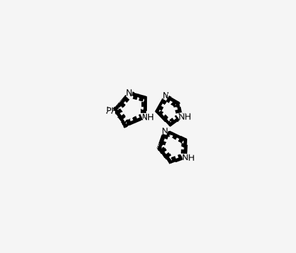 P.c1c[nH]cn1.c1c[nH]cn1.c1c[nH]cn1